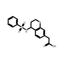 O=C(O)Cc1ccc2c(c1)OCCC2NS(=O)(=O)c1ccccc1